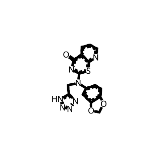 O=c1nc(N(Cc2nnn[nH]2)c2ccc3c(c2)OCO3)sc2ncccc12